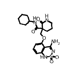 NC1=NS(=O)(=O)Nc2cccc(OCC3(C(=O)NC4CCCCC4)CCCNC3=O)c21